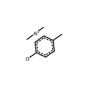 Cc1ccc([O-])cc1.[CH3][Al+][CH3]